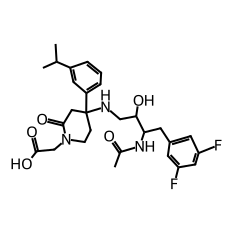 CC(=O)NC(Cc1cc(F)cc(F)c1)C(O)CNC1(c2cccc(C(C)C)c2)CCN(CC(=O)O)C(=O)C1